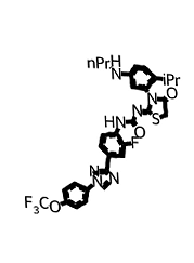 CCCNc1ccc(C(C)C)c(N2C(=O)CS/C2=N\C(=O)Nc2ccc(-c3ncn(-c4ccc(OC(F)(F)F)cc4)n3)cc2F)c1